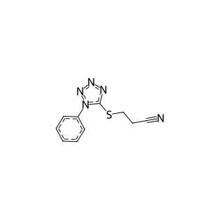 N#CCCSc1nnnn1-c1ccccc1